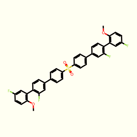 COc1ccc(F)cc1-c1ccc(-c2ccc(S(=O)(=O)c3ccc(-c4ccc(-c5cc(F)ccc5OC)c(F)c4)cc3)cc2)cc1F